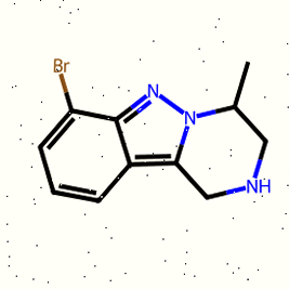 CC1CNCc2c3cccc(Br)c3nn21